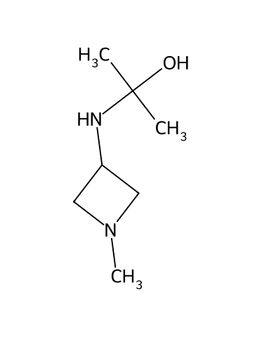 CN1CC(NC(C)(C)O)C1